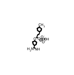 Cc1ccc(/C=C/C(=O)Oc2ccc(C(=N)N)cc2)cc1.[O-][Cl+3]([O-])([O-])O